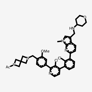 COc1cc(-c2nccc(-c3cccc(-c4ccc5c(CNC6CCOCC6)cn(C)c5n4)c3Cl)c2Cl)ccc1CN1CC2(C1)CN(C(C)=O)C2